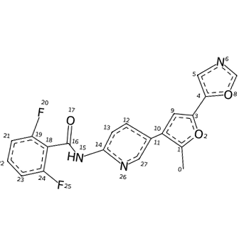 Cc1oc(-c2cnco2)cc1-c1ccc(NC(=O)c2c(F)cccc2F)nc1